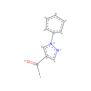 O=C(I)c1cnn(-c2ccccc2)c1